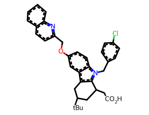 CC(C)(C)C1Cc2c(n(Cc3ccc(Cl)cc3)c3ccc(OCc4ccc5ccccc5n4)cc23)C(CC(=O)O)C1